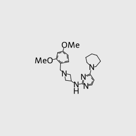 COc1ccc(CN2CC(Nc3nccc(N4CCCCCC4)n3)C2)c(OC)c1